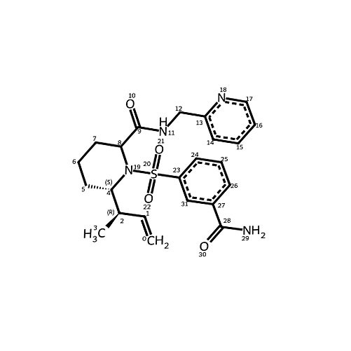 C=C[C@@H](C)[C@@H]1CCCC(C(=O)NCc2ccccn2)N1S(=O)(=O)c1cccc(C(N)=O)c1